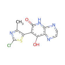 Cc1nc(Cl)sc1-c1c(O)c2nccnc2[nH]c1=O